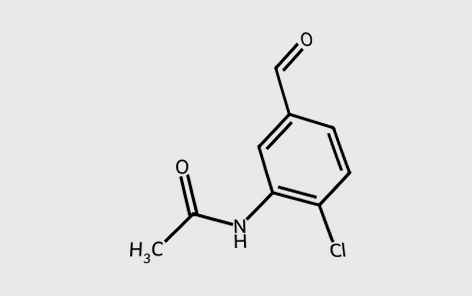 CC(=O)Nc1cc(C=O)ccc1Cl